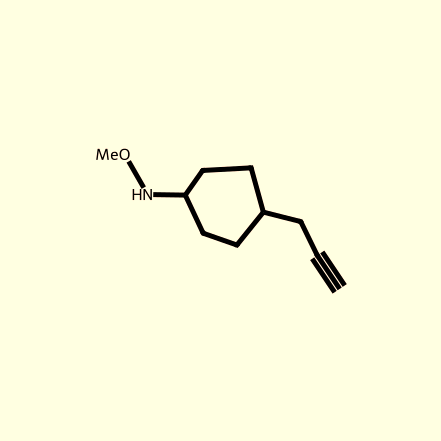 C#CCC1CCC(NOC)CC1